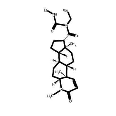 CCNC(=O)N(CC(C)(C)C)C(=O)[C@H]1CC[C@H]2[C@@H]3CC[C@H]4N(C)C(=O)C=C[C@]4(C)[C@H]3CC[C@]12C